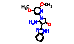 COc1cc(OC)nc(N2CC(=O)C(c3nc4ccccc4[nH]3)=C2N)c1